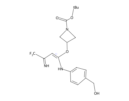 CC(C)(C)OC(=O)N1CC(O/C(=C/C(=N)C(F)(F)F)Nc2ccc(CO)cc2)C1